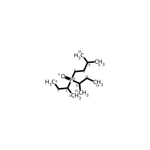 CCC(C)P(=O)(CCC(C)C)C(C)CC